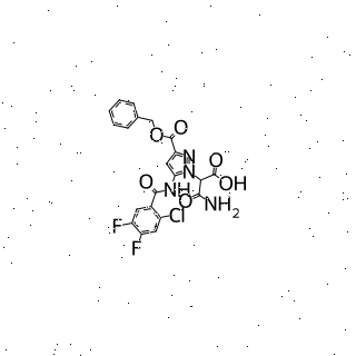 NC(=O)C(C(=O)O)n1nc(C(=O)OCc2ccccc2)cc1NC(=O)c1cc(F)c(F)cc1Cl